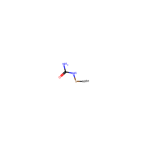 CNSNC(N)=O